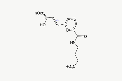 CCCCCCCC[C@H](O)/C=C/c1cccc(C(=O)NCCCC(=O)O)n1